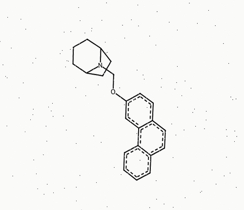 c1ccc2c(c1)ccc1ccc(OCN3C4CCCC3CC4)cc12